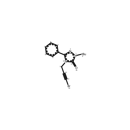 CC(C)(C)n1nc(-c2ccccc2)n(CC#CBr)c1=O